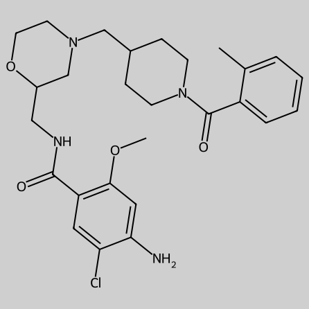 COc1cc(N)c(Cl)cc1C(=O)NCC1CN(CC2CCN(C(=O)c3ccccc3C)CC2)CCO1